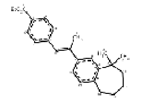 CCOC(=O)c1ccc(C=C(C)c2ccc3c(c2)C(C)(C)CCCC3)cc1